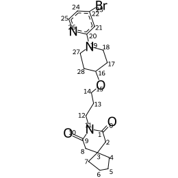 O=C1CC2(CCCC2)CC(=O)N1CCCOC1CCN(c2cc(Br)ccn2)CC1